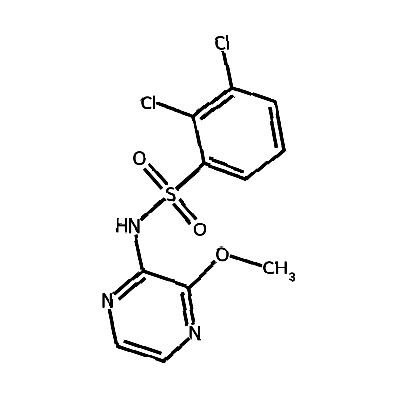 COc1nccnc1NS(=O)(=O)c1cccc(Cl)c1Cl